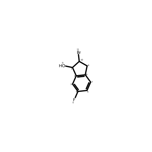 OC1c2cc(F)ccc2CC1Br